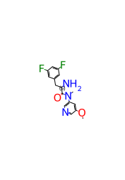 COc1cncc(N(C)C(=O)[C@@H](N)Cc2cc(F)cc(F)c2)c1